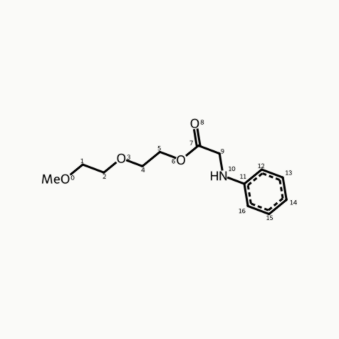 COCCOCCOC(=O)CNc1ccccc1